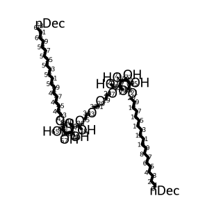 CCCCCCCCCCCCCCCCCCCCCCCCCCCCCCO[C@@H]1O[C@H](C(O)OCCOCCOCCOC(O)[C@H]2O[C@@H](OCCCCCCCCCCCCCCCCCCCCCCCCCCCCCC)[C@H](O)[C@@H](O)[C@@H]2O)[C@@H](O)[C@H](O)[C@H]1O